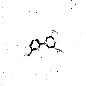 C[C@@H]1CN(c2cccc(C=O)n2)C[C@H](C)O1